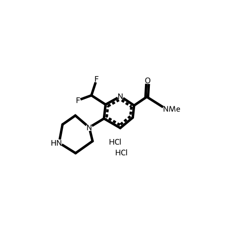 CNC(=O)c1ccc(N2CCNCC2)c(C(F)F)n1.Cl.Cl